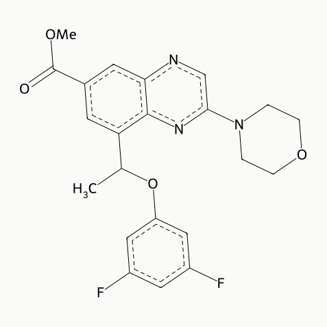 COC(=O)c1cc(C(C)Oc2cc(F)cc(F)c2)c2nc(N3CCOCC3)cnc2c1